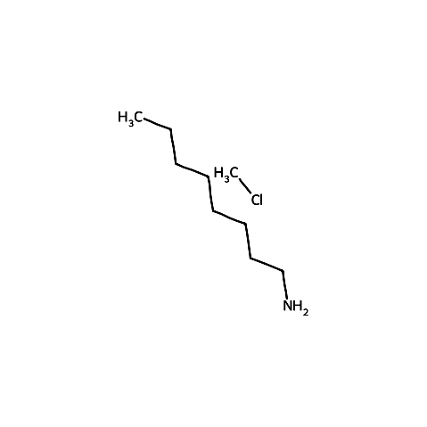 CCCCCCCCN.CCl